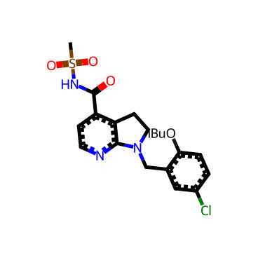 CC(C)COc1ccc(Cl)cc1CN1CCc2c(C(=O)NS(C)(=O)=O)ccnc21